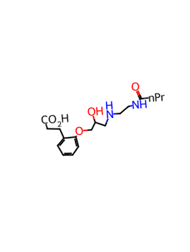 CCCC(=O)NCCNCC(O)COc1ccccc1CCC(=O)O